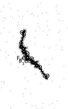 C=CC(=O)OCCCCCCOc1ccc2c(c1)C(C)c1cc(C(=O)Oc3ccc(OC(=O)c4ccc5c(c4)C(C)c4cc(OCCCCCCOC(=O)C=C)ccc4-5)c(C(F)(F)F)c3C(F)(F)F)ccc1-2